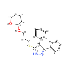 c1ccc(-c2n[nH]c(SCCCOC3CCCCO3)c2-c2ccccc2)cc1